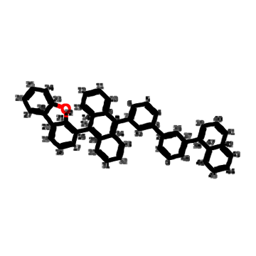 c1cc(-c2cccc(-c3c4ccccc4c(-c4cccc5c4oc4ccccc45)c4ccccc34)c2)cc(-c2cccc3ccccc23)c1